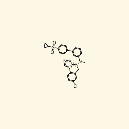 CN(c1cccc(-c2ccc(S(=O)(=O)C3CC3)cc2)c1)N1Cc2cc(Cl)ccc2-[n+]2cncn21